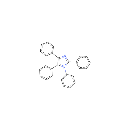 c1ccc(-c2nc(-c3ccccc3)n(-c3ccccc3)c2-c2ccccc2)cc1